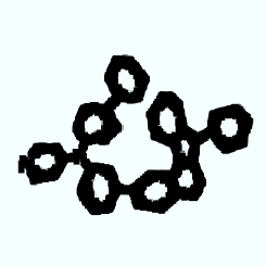 c1ccc(-c2ccc(N(c3ccncc3)c3cccc(-c4ccc5ccc6c(-c7ccccc7)c7ccccc7n6c5c4)c3)cc2)cc1